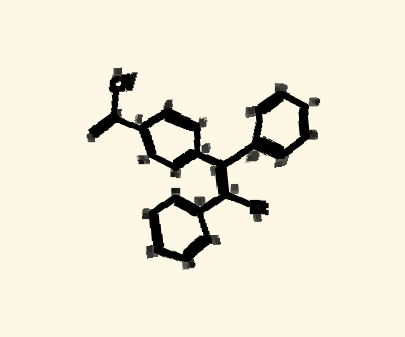 C=C(C#N)c1ccc(/C(=C(/CC)c2ccccc2)c2ccccc2)cc1